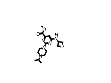 COC(=O)c1cc(NC2COC2)nc(N2CCN(C(C)C)CC2)n1